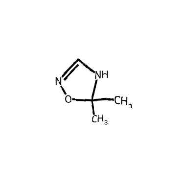 CC1(C)NC=NO1